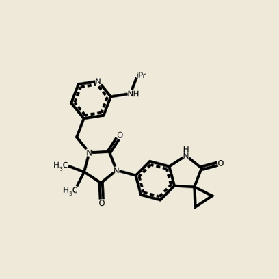 CC(C)Nc1cc(CN2C(=O)N(c3ccc4c(c3)NC(=O)C43CC3)C(=O)C2(C)C)ccn1